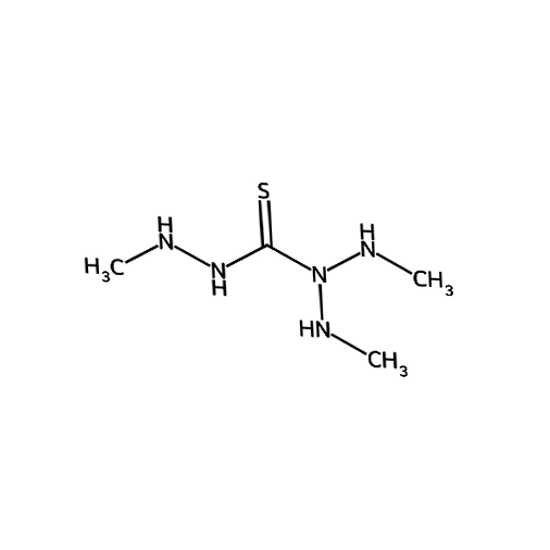 CNNC(=S)N(NC)NC